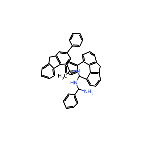 C/C(=N\C(NC(N)c1ccccc1)c1cccc2c1-c1c(cccc1-c1ccccc1)C2)c1cc(-c2ccccc2)cc2c1-c1ccccc1C2